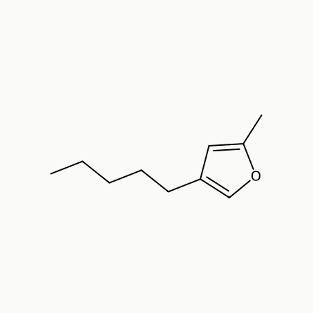 CCCCCc1coc(C)c1